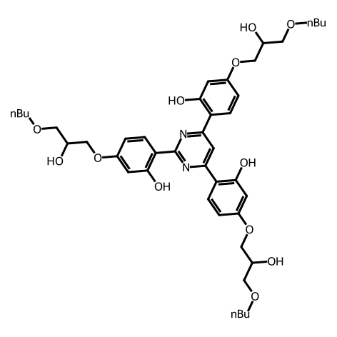 CCCCOCC(O)COc1ccc(-c2cc(-c3ccc(OCC(O)COCCCC)cc3O)nc(-c3ccc(OCC(O)COCCCC)cc3O)n2)c(O)c1